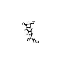 CC(C)(C)OC(=O)N1Cc2cc3c(cc2C1)C(=O)OC3=O